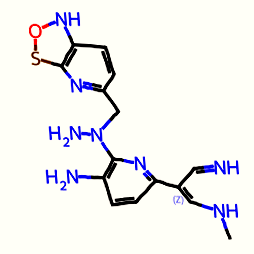 CN/C=C(\C=N)c1ccc(N)c(N(N)Cc2ccc3c(n2)SON3)n1